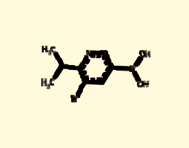 CC(C)c1ncc(B(O)O)cc1Br